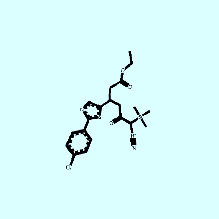 CCOC(=O)CC(CC(=O)C([N+]#N)[Si](C)(C)C)c1cnc(-c2ccc(Cl)cc2)s1